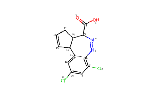 O=C(O)C1N=Nc2c(Cl)cc(Cl)cc2C2C=CCC12